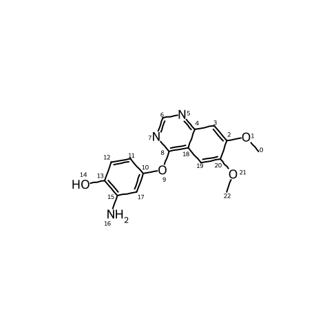 COc1cc2ncnc(Oc3ccc(O)c(N)c3)c2cc1OC